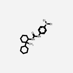 CCN(CC)c1ccc(NC(=O)NC2CCCCC2(C)C2CCCCC2)cc1